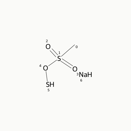 CS(=O)(=O)OS.[NaH]